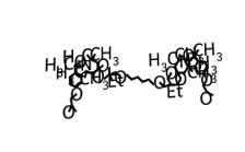 CCC1(COCCCCCCOCC2(CC)COC3(CC(C)(C)N(OC(C)c4ccc(OCC5CO5)cc4)C(C)(C)C3)OC2)COC2(CC(C)(C)N(OC(C)c3ccc(OCC4CO4)cc3)C(C)(C)C2)OC1